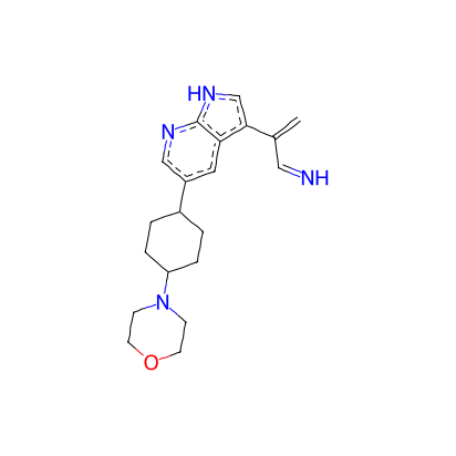 C=C(C=N)c1c[nH]c2ncc(C3CCC(N4CCOCC4)CC3)cc12